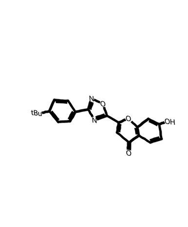 CC(C)(C)c1ccc(-c2noc(-c3cc(=O)c4ccc(O)cc4o3)n2)cc1